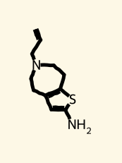 C=CCN1CCc2cc(N)sc2CC1